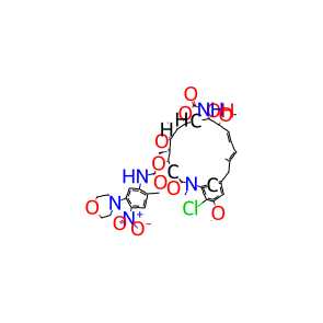 COc1cc2cc(c1Cl)N(C)C(=O)C[C@H](OC(=O)Nc1cc(N3CCOCC3)c([N+](=O)[O-])cc1C)[C@]1(C)O[C@H]1[C@H](C)[C@@H]1C[C@@](O)(NC(=O)O1)[C@H](OC)/C=C/C=C(\C)C2